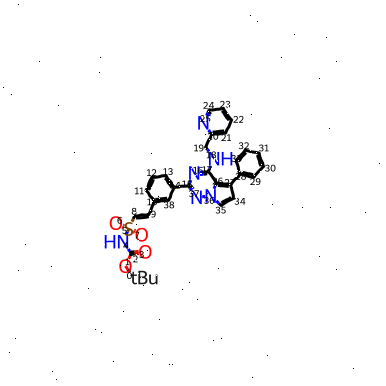 CC(C)(C)OC(=O)NS(=O)(=O)/C=C/c1cccc(-c2nc(NCc3ccccn3)c3c(-c4ccccc4)ccn3n2)c1